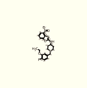 CCOc1cc(CN2CCC(Nc3nc4c([N+](=O)[O-])cccc4o3)CC2)ccc1F